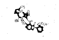 Cc1ccc([C@H](Nc2c(Nc3c(F)ccc4c3C(=O)N(c3ccccc3C(=O)O)C4)c(=O)c2=O)C(C)(C)C)o1